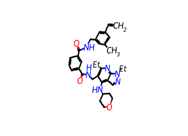 C=Cc1cc(C)cc(CNC(=O)c2cccc(C(=O)NCc3c(CC)nc4c(cnn4CC)c3NC3CCOCC3)c2)c1